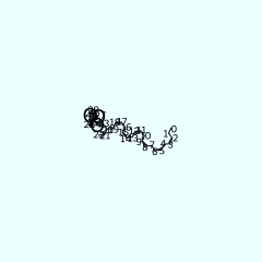 CC/C=C\C/C=C\C/C=C\C/C=C\C/C=C\C/C=C\CC(CC)COP(C)(=O)OC